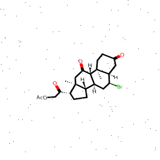 CC(=O)OCC(=O)[C@H]1CC[C@H]2[C@@H]3C[C@H](Br)[C@@H]4CC(=O)CC[C@]4(C)[C@H]3C(=O)C[C@]12C